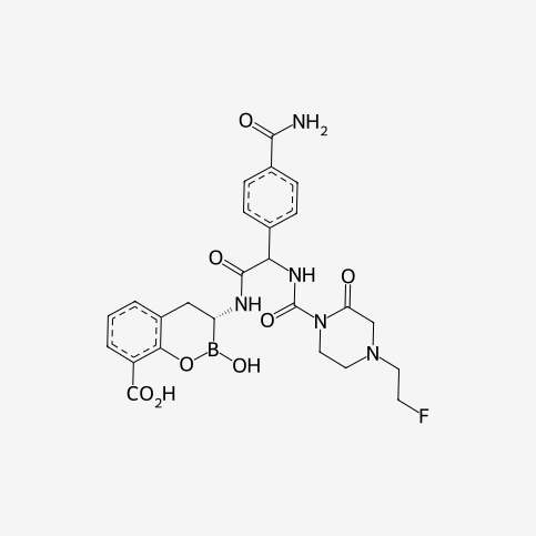 NC(=O)c1ccc(C(NC(=O)N2CCN(CCF)CC2=O)C(=O)N[C@H]2Cc3cccc(C(=O)O)c3OB2O)cc1